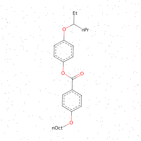 CCCCCCCCOc1ccc(C(=O)Oc2ccc(OC(CC)CCC)cc2)cc1